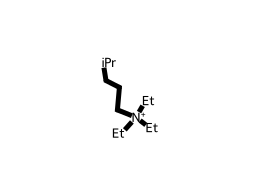 CC[N+](CC)(CC)CCCC(C)C